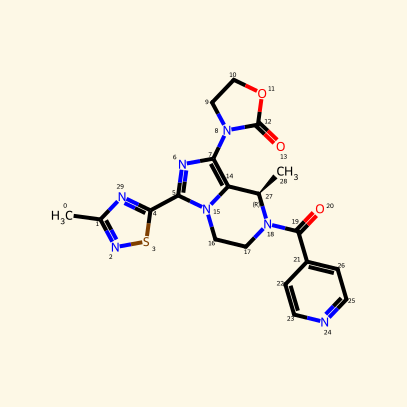 Cc1nsc(-c2nc(N3CCOC3=O)c3n2CCN(C(=O)c2ccncc2)[C@@H]3C)n1